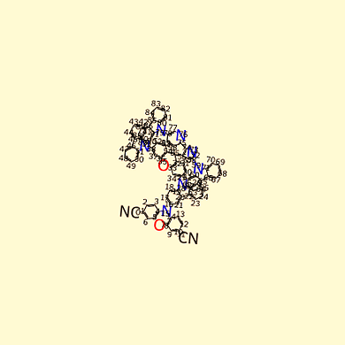 N#Cc1ccc2c(c1)Oc1cc(C#N)ccc1N2c1ccc2c(c1)c1ccccc1n2-c1ccc2c(c1)Oc1cc(-n3c4ccccc4c4ccccc43)ccc1C21c2cc(-n3c4ccccc4c4ccccc43)cnc2-c2ncc(-n3c4ccccc4c4ccccc43)cc21